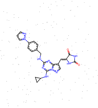 O=C1NC(=O)/C(=C/c2cnn3c(NC4CC4)nc(NCc4ccc(-n5cccn5)cc4)nc23)N1